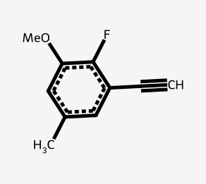 C#Cc1cc(C)cc(OC)c1F